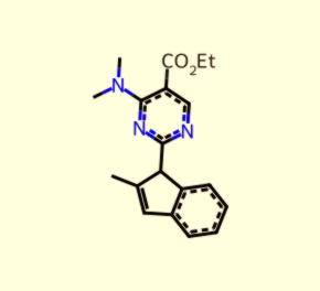 CCOC(=O)c1cnc(C2C(C)=Cc3ccccc32)nc1N(C)C